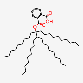 CCCCCCCCCCC(CCCCCCCCC)(OC(=O)c1ccccc1C(=O)O)C(CCCCCCCCC)CCCCCCCCC